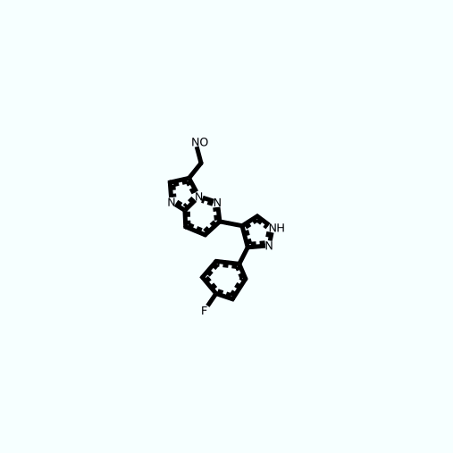 O=NCc1cnc2ccc(-c3c[nH]nc3-c3ccc(F)cc3)nn12